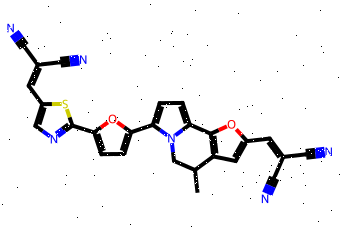 CC1Cn2c(-c3ccc(-c4ncc(C=C(C#N)C#N)s4)o3)ccc2-c2oc(C=C(C#N)C#N)cc21